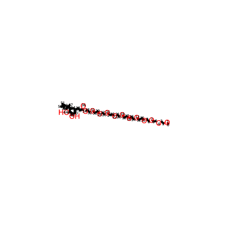 COCCOCCOCCOCCOCCOCCOCCOCCOCCOCCOCCOC(=O)CCc1cc(O)c(O)c(C(C)(C)CC(C)(C)C)c1